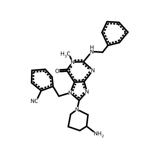 Cn1c(NCc2ccccc2)nc2nc(N3CCCC(N)C3)n(Cc3ccccc3C#N)c2c1=O